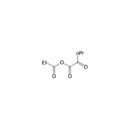 CCCC(=O)C(=O)OC(=O)CC